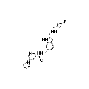 O=C(NCc1ccc2cc(CNCC34CC(F)(C3)C4)[nH]c2c1)c1cncc(-n2cccc2)c1